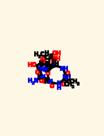 CCOc1ccc2c3c([nH]c2c1)OC[C@@H]1NC(=O)CNC(=O)[C@H]([C@@H](C)CC)NC(=O)CNC[C@@H](C3)NC(=O)C([C@@H](C)[C@@H](O)CO)NC(=O)[C@@H]2C[C@@H](O)CN2C(=O)[C@H](CC(N)=O)NC1=O